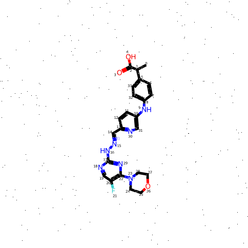 CC(C(=O)O)c1ccc(Nc2ccc(/C=N/Nc3ncc(F)c(N4CCOCC4)n3)nc2)cc1